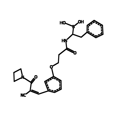 N#CC(=Cc1cccc(OCCC(=O)NC(Cc2ccccc2)B(O)O)c1)C(=O)N1CCC1